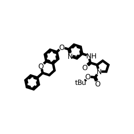 CC(C)(C)OC(=O)N1CCCC1C(=O)Nc1ccc(Oc2ccc3c(c2)CCC(c2ccccc2)O3)nc1